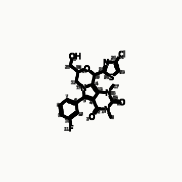 Cn1c(=O)c2c(-c3cccc(F)c3)n3c(c2n(C)c1=O)C(c1nc(Cl)cs1)OC(CO)C3